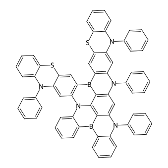 c1ccc(N2c3ccccc3Sc3cc4c(cc32)N(c2ccccc2)c2cc3c5c6c2B4c2cc4c(cc2N6c2ccccc2B5c2ccccc2N3c2ccccc2)N(c2ccccc2)c2ccccc2S4)cc1